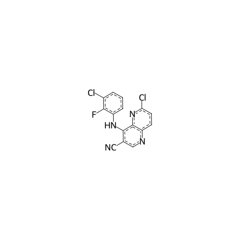 N#Cc1cnc2ccc(Cl)nc2c1Nc1cccc(Cl)c1F